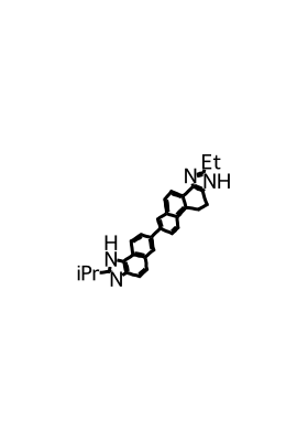 CCc1nc2c([nH]1)CCc1c-2ccc2cc(-c3ccc4c(ccc5nc(C(C)C)[nH]c54)c3)ccc12